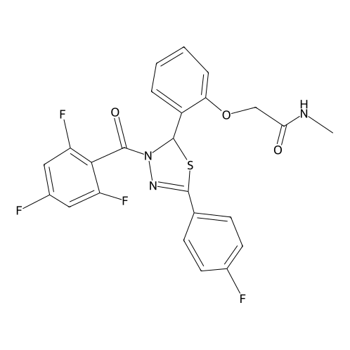 CNC(=O)COc1ccccc1C1SC(c2ccc(F)cc2)=NN1C(=O)c1c(F)cc(F)cc1F